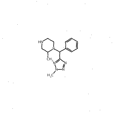 CC1CNCCN1C(c1ccccc1)c1nnn(C)n1